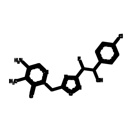 Cc1c(N)cnn(Cc2nc(C(F)C(O)c3ccc(Cl)cc3)no2)c1=O